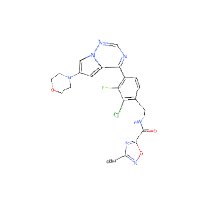 CC(C)(C)c1noc(C(=O)NCc2ccc(-c3ncnn4cc(N5CCOCC5)cc34)c(F)c2Cl)n1